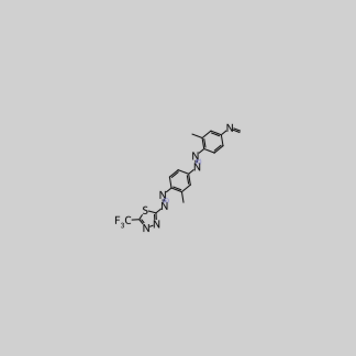 C=Nc1ccc(/N=N/c2ccc(/N=N/c3nnc(C(F)(F)F)s3)c(C)c2)c(C)c1